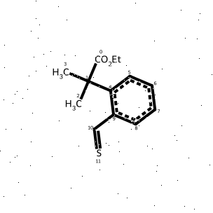 CCOC(=O)C(C)(C)c1ccccc1C=S